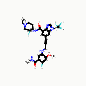 CCN1CC[C@H](NC(=O)c2cc(C#CCNc3cc(C(=O)NC)c(F)cc3OC)cc3c2ncn3CC(F)(F)F)[C@@H](F)C1